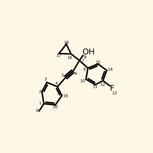 Cc1ccc(C#CC(O)(c2ccc(F)cc2)C2CC2)cc1